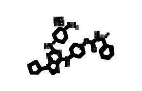 C[C@@H](NC(=O)ON1CCC(Nc2nc(N[C@H]3CC[C@H](N)CC3)nc3c2ncn3C2CCCC2)CC1)c1ccccc1.Cl.Cl